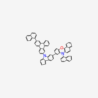 c1ccc2c(-c3ccc4c5ccc(-n6c7ccccc7c7ccc(-c8ccc9c(c8)N(c8cccc%10ccccc8%10)c8ccc%10ccccc%10c8O9)cc76)cc5c5ccccc5c4c3)cccc2c1